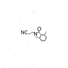 Cc1cccc2c1C(=O)N(CCC#N)C2